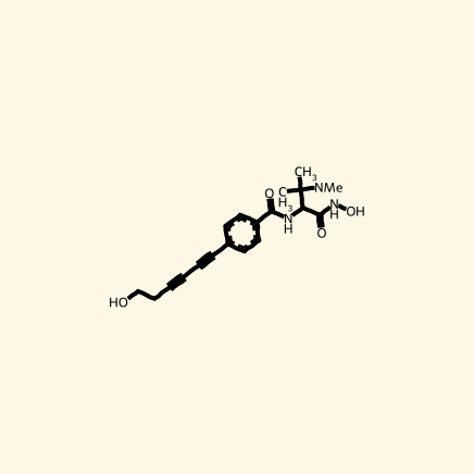 CNC(C)(C)C(NC(=O)c1ccc(C#CC#CCCO)cc1)C(=O)NO